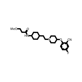 COCCC(=O)NC1CCC(CCN2CCC(Oc3ccc(F)cc3C#N)CC2)CC1